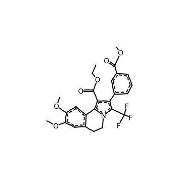 CCOC(=O)c1c(-c2cccc(C(=O)OC)c2)c(C(F)(F)F)n2c1-c1cc(OC)c(OC)cc1CC2